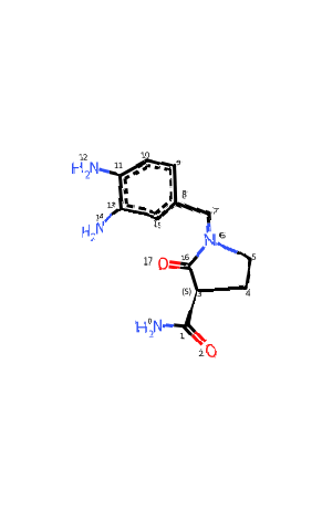 NC(=O)[C@@H]1CCN(Cc2ccc(N)c(N)c2)C1=O